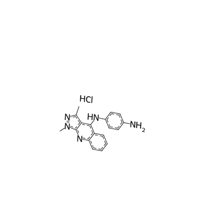 Cc1nn(C)c2nc3ccccc3c(Nc3ccc(N)cc3)c12.Cl